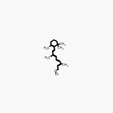 CCOCC=C(C)C=CC=C(C)C=CC1=C(C)CCCC1(C)C